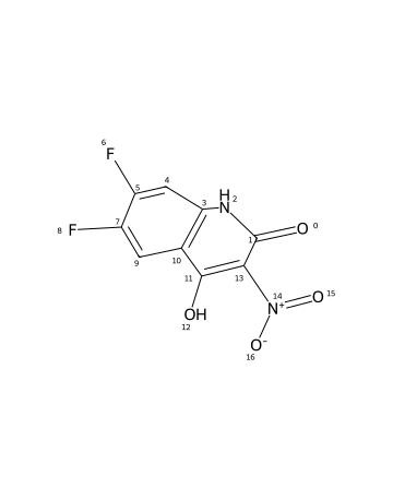 O=c1[nH]c2cc(F)c(F)cc2c(O)c1[N+](=O)[O-]